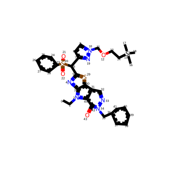 CCn1c2nc(C(c3ccn(COCC[Si](C)(C)C)n3)S(=O)(=O)c3ccccc3)sc2c2cnn(Cc3ccccc3)c(=O)c21